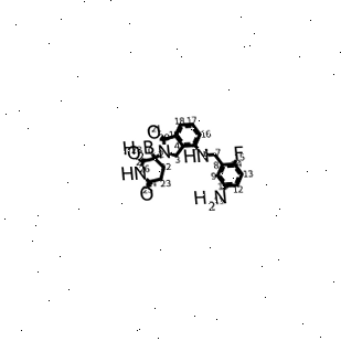 BC1(N2Cc3c(NCc4cc(N)ccc4F)cccc3C2=O)CCC(=O)NC1=O